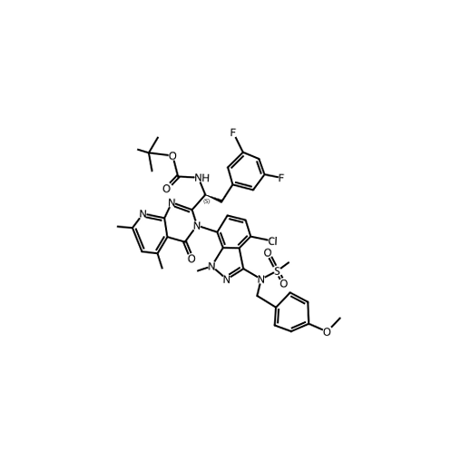 COc1ccc(CN(c2nn(C)c3c(-n4c([C@H](Cc5cc(F)cc(F)c5)NC(=O)OC(C)(C)C)nc5nc(C)cc(C)c5c4=O)ccc(Cl)c23)S(C)(=O)=O)cc1